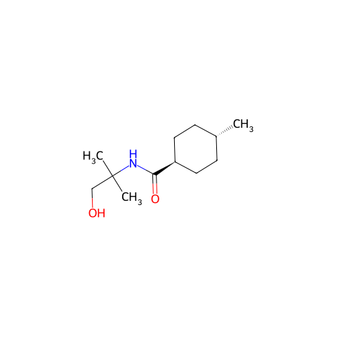 CC(C)(CO)NC(=O)[C@H]1CC[C@H](C)CC1